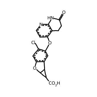 O=C1CCc2c(Oc3cc4c(cc3Cl)OC3C(C(=O)O)C43)ccnc2N1